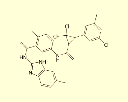 C=C(Nc1nc2ccc(C)cc2[nH]1)c1cc(NC(=C)C2C(c3cc(C)cc(Cl)c3)C2(Cl)Cl)ccc1C